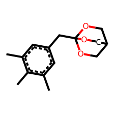 Cc1cc(CC23OCC(CO2)CO3)cc(C)c1C